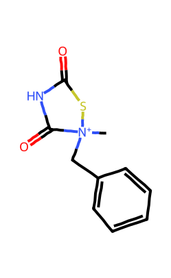 C[N+]1(Cc2ccccc2)SC(=O)NC1=O